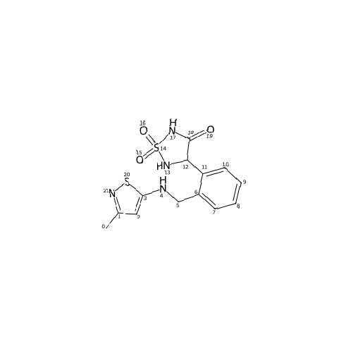 Cc1cc(NCc2ccccc2C2NS(=O)(=O)NC2=O)sn1